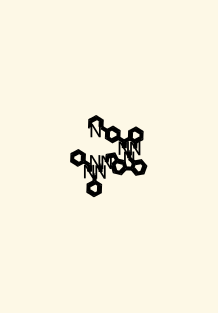 c1ccc(-c2nc(-c3ccccc3)nc(-n3ccc4c3ccc3c5ccccc5n(-c5nc(-c6ccc(-c7ccccn7)cc6)c6ccccc6n5)c34)n2)cc1